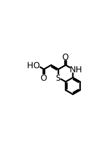 O=C(O)C=C1Sc2ccccc2NC1=O